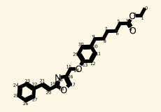 CCOC(=O)CCCCCc1ccc(OCc2coc(C=Cc3ccccc3)n2)cc1